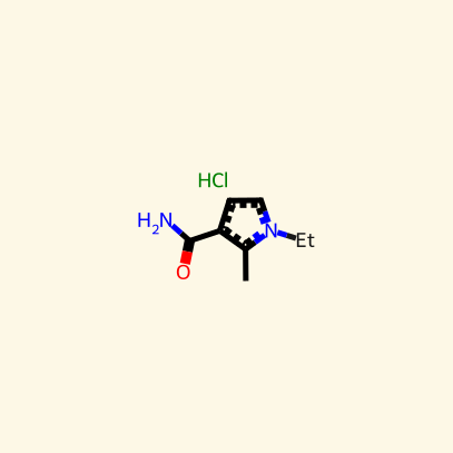 CCn1ccc(C(N)=O)c1C.Cl